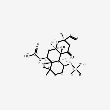 C=C[C@@]1(C)CC(=O)[C@]2(O)[C@@]3(C)[C@@H](O[Si](C)(C)C(C)(C)C)CCC(C)(C)[C@@H]3[C@@H](OS(=O)O)C[C@@]2(C)O1